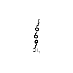 CCCCCc1ccc([C@H]2CC[C@H](CC[C@H]3CC[C@H](C=CCCF)CC3)CC2)cc1